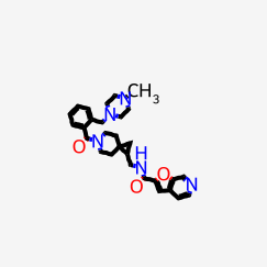 CN1CCN(Cc2ccccc2C(=O)N2CCC3(CC2)CC3CNC(=O)c2cc3ccncc3o2)CC1